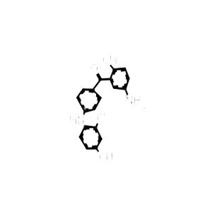 Cc1ccc(Nc2ccc(C(=O)c3cc(N)ccc3C)cc2)c(Cl)c1